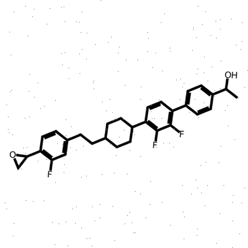 CC(O)c1ccc(-c2ccc(C3CCC(CCc4ccc(C5CO5)c(F)c4)CC3)c(F)c2F)cc1